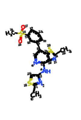 Cc1nc(Nc2ncc(-c3cccc(S(C)(=O)=O)c3)c3sc(C)nc23)cs1